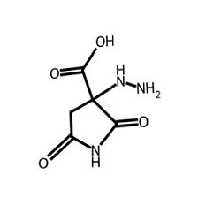 NNC1(C(=O)O)CC(=O)NC1=O